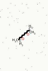 CC(C)CC(=O)CCCC(=O)CC(C)C